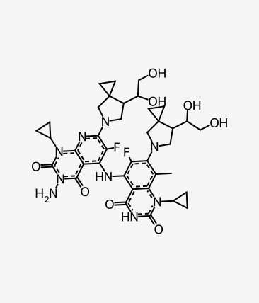 Cc1c(N2CC(C(O)CO)C3(CC3)C2)c(F)c(Nc2c(F)c(N3CC(C(O)CO)C4(CC4)C3)nc3c2c(=O)n(N)c(=O)n3C2CC2)c2c(=O)[nH]c(=O)n(C3CC3)c12